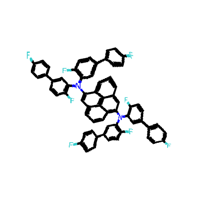 Fc1ccc(-c2ccc(F)c(N(c3cc(-c4ccc(F)cc4)ccc3F)c3cc4cccc5c(N(c6cc(-c7ccc(F)cc7)ccc6F)c6cc(-c7ccc(F)cc7)ccc6F)cc6cccc3c6c45)c2)cc1